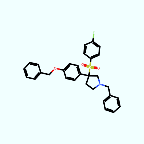 O=S(=O)(c1ccc(F)cc1)C1(c2ccc(OCc3ccccc3)cc2)CCN(Cc2ccccc2)C1